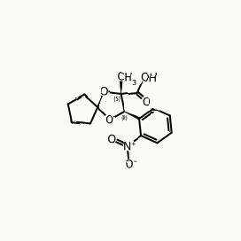 C[C@]1(C(=O)O)OC2(CCCC2)O[C@@H]1c1ccccc1[N+](=O)[O-]